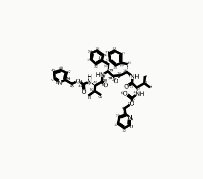 CC(C)[C@H](NC(=O)OCc1ccccn1)C(=O)N[C@@H](Cc1ccccc1)[C@@H]1O[C@@H]1[C@H](Cc1ccccc1)NC(=O)[C@@H](NC(=O)OCc1ccccn1)C(C)C